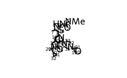 CNC(=O)Nc1nc(C)c(-c2cc3c(c(N4CCN(C5COC5)CC4)n2)C(=O)N([C@@H](C)C2CC2)C3)s1